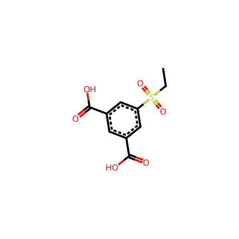 CCS(=O)(=O)c1cc(C(=O)O)cc(C(=O)O)c1